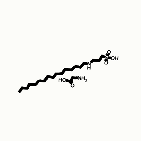 CCCCCCCCCCCCCCCCNCCCS(=O)(=O)O.NCC(=O)O